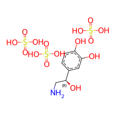 NC[C@H](O)c1ccc(O)c(O)c1.O=S(=O)(O)O.O=S(=O)(O)O.O=S(=O)(O)O